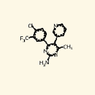 Cc1nc(N)nc(-c2ccc(Cl)c(C(F)(F)F)c2)c1-c1cccnc1